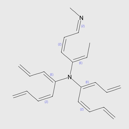 C=C/C=C\C(=C/C=C)N(C(/C=C\C=N/C)=C/C)C(/C=C\C=C)=C/C=C